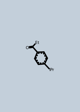 CCC(=O)c1ccc(C(C)C)cc1